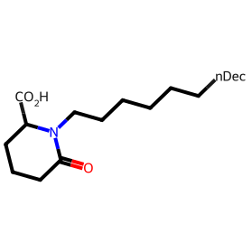 CCCCCCCCCCCCCCCCN1C(=O)CCCC1C(=O)O